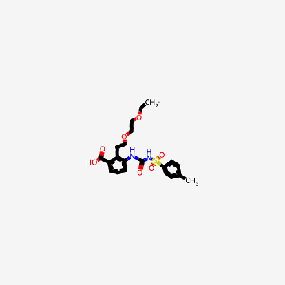 [CH2]COCCOCCc1c(NC(=O)NS(=O)(=O)c2ccc(C)cc2)cccc1C(=O)O